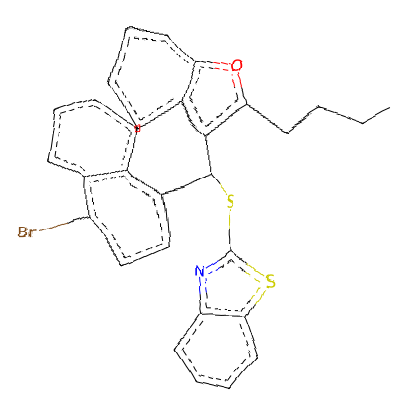 CCCCc1oc2ccccc2c1C(Sc1nc2ccccc2s1)c1ccc(Br)c2ccccc12